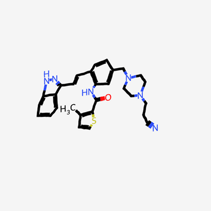 Cc1ccsc1C(=O)Nc1cc(CN2CCN(CCC#N)CC2)ccc1C=Cc1n[nH]c2ccccc12